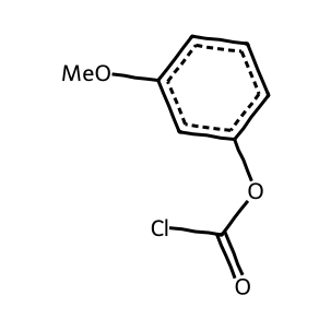 COc1cccc(OC(=O)Cl)c1